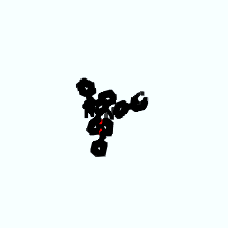 c1ccc(-c2ccc(N(c3ccc(-c4ccccc4)cc3)c3c(-c4ccccc4)n4ncc(-c5ccccc5)c4c4ccccc34)cc2)cc1